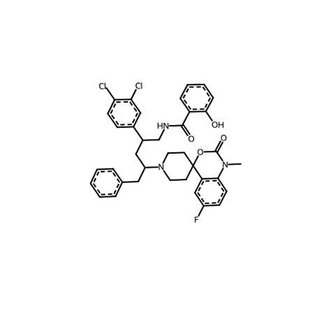 CN1C(=O)OC2(CCN(C(Cc3ccccc3)CC(CNC(=O)c3ccccc3O)c3ccc(Cl)c(Cl)c3)CC2)c2cc(F)ccc21